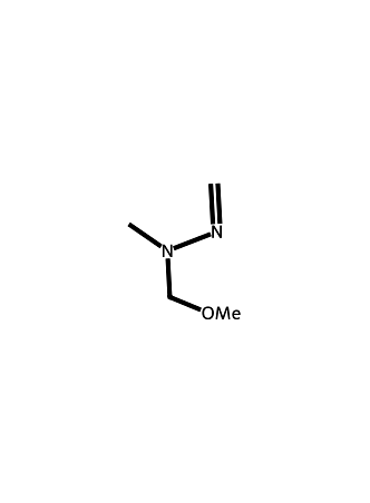 C=NN(C)COC